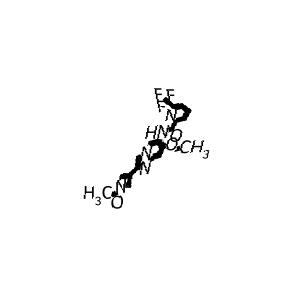 CCOc1cc2nc(C3CN(C(C)=O)C3)cn2cc1NC(=O)c1cccc(C(F)(F)F)n1